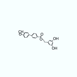 COc1ccc(-c2ccc(C(=O)OCCc3cc(O)cc(O)c3)cc2)cc1